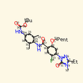 CCCC(C)Oc1cc(-n2nc(CC)n(C)c2=O)c(F)cc1C(=O)Nc1c(C)cc(NC(=O)OC(C)(C)C)cc1C